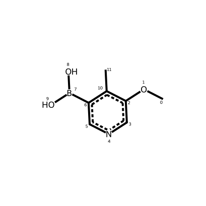 COc1cncc(B(O)O)c1C